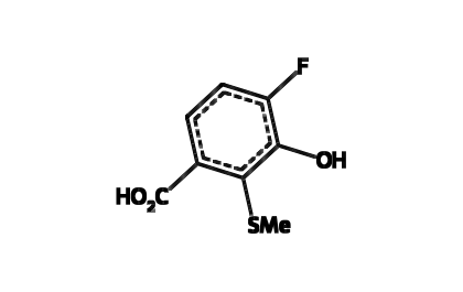 CSc1c(C(=O)O)ccc(F)c1O